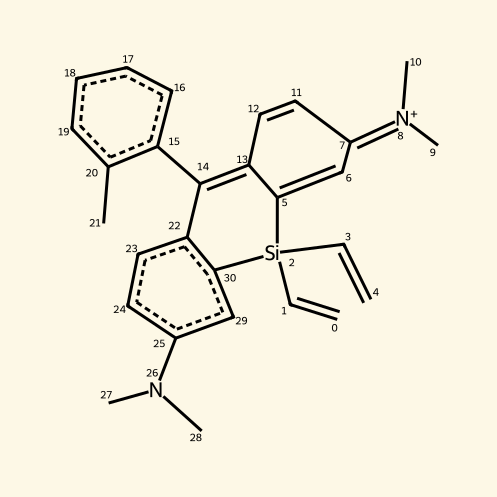 C=C[Si]1(C=C)C2=CC(=[N+](C)C)C=CC2=C(c2ccccc2C)c2ccc(N(C)C)cc21